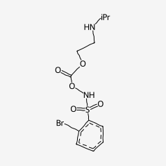 CC(C)NCCOC(=O)ONS(=O)(=O)c1ccccc1Br